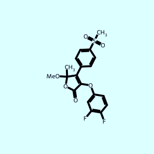 COC1(C)OC(=O)C(Oc2ccc(F)c(F)c2)=C1c1ccc(S(C)(=O)=O)cc1